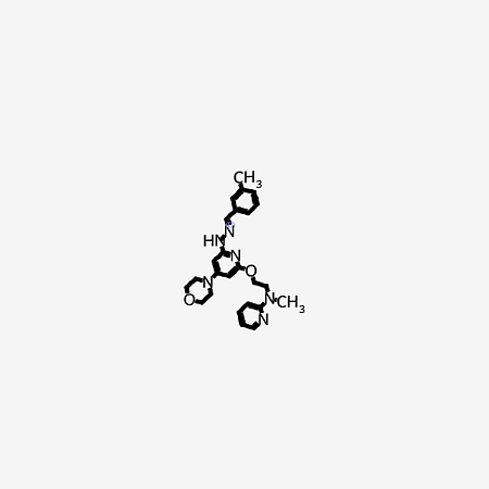 Cc1cccc(/C=N/Nc2cc(N3CCOCC3)cc(OCCN(C)c3ccccn3)n2)c1